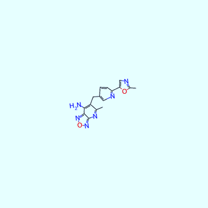 Cc1ncc(-c2ccc(Cc3c(C)nc4nonc4c3N)cn2)o1